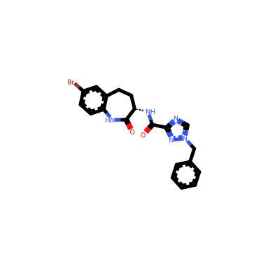 O=C(N[C@H]1CCc2cc(Br)ccc2NC1=O)c1ncn(Cc2ccccc2)n1